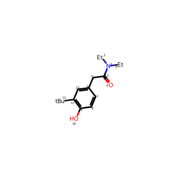 CCN(CC)C(=O)Cc1ccc(O)c(C(C)(C)C)c1